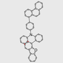 c1ccc(N(c2ccc(-c3cccc4c3ccc3ccccc34)cc2)c2ccccc2-c2cccc3c2oc2ccccc23)cc1